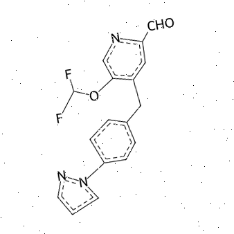 O=Cc1cc(Cc2ccc(-n3cccn3)cc2)c(OC(F)F)cn1